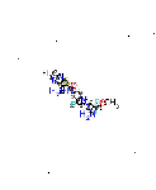 COCC(F)(F)C1CN(c2cc(F)c3c(n2)CCC(NC(=O)c2sc4nc(C)ncc4c2N)C3)CC1N